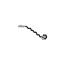 CCCCCCCCCCCCCCCCCCC[SiH]1CCCCO1